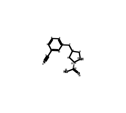 N#Cc1cccc(CC2CN[C@H](C(=O)O)C2)c1